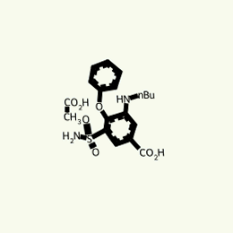 CC(=O)O.CCCCNc1cc(C(=O)O)cc(S(N)(=O)=O)c1Oc1ccccc1